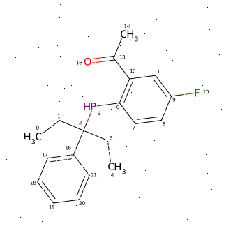 CCC(CC)(Pc1ccc(F)cc1C(C)=O)c1ccccc1